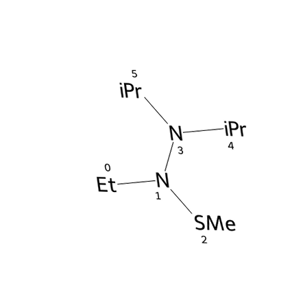 CCN(SC)N(C(C)C)C(C)C